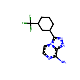 Nc1nccn2c(C3CCCC(C(F)(F)F)C3)nnc12